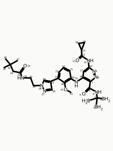 BC(B)(B)NC(=O)c1nnc(NC(=O)C2CC2)cc1Nc1cccc(-c2cnn(CCNC(=O)CC(C)(C)C)c2)c1OC